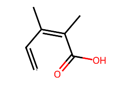 [CH]=CC(C)=C(C)C(=O)O